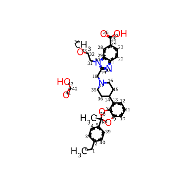 CCc1ccc(C2(C)Oc3cccc(C4CCN(Cc5nc6ccc(C(=O)O)cc6n5CCOC)CC4)c3O2)cc1.O=CO